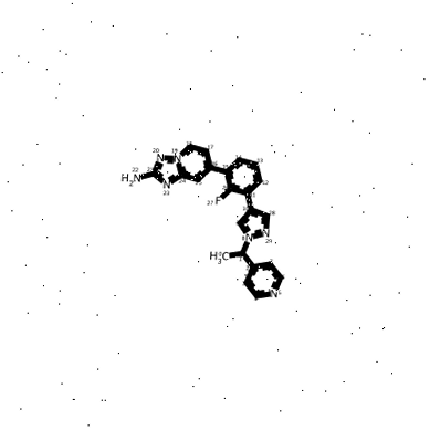 CC(c1ccncc1)n1cc(-c2cccc(-c3ccn4nc(N)nc4c3)c2F)cn1